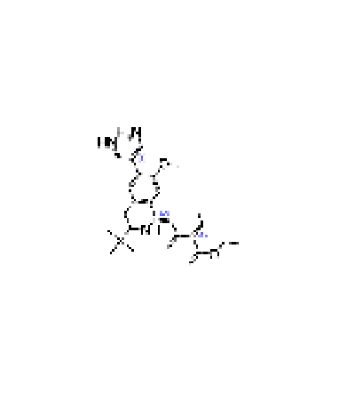 C=C(/C=C1\NC(C(C)(C)C)Cc2cc(/C(C=N)=C/N)c(OC)cc21)/C(=C\C)C(=C)OCC